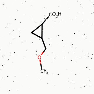 O=C(O)C1CC1COC(F)(F)F